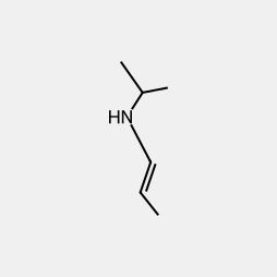 CC=CNC(C)C